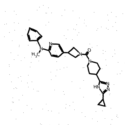 CN(c1ccccc1)c1ccc(C2CN(C(=O)N3CCC(c4nnc(C5CC5)[nH]4)CC3)C2)cn1